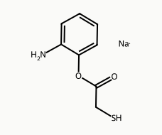 Nc1ccccc1OC(=O)CS.[Na]